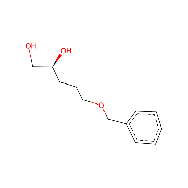 OC[C@@H](O)CCCOCc1ccccc1